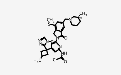 CSc1cc(CN2CCC[C@H](C)C2)cc2c1CN(c1cc(C3(c4nncn4C)CC(C)C3)cc(NC(=O)Cl)n1)C2=O